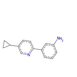 Nc1cccc(-c2ccc(C3CC3)cn2)c1